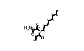 C=CC(=O)N(CCCCCCCC)C(=C)C(N)=O